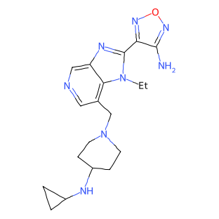 CCn1c(-c2nonc2N)nc2cncc(CN3CCC(NC4CC4)CC3)c21